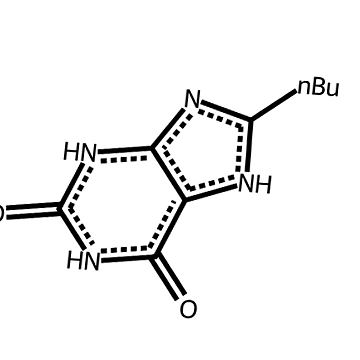 CCCCc1nc2[nH]c(=O)[nH]c(=O)c2[nH]1